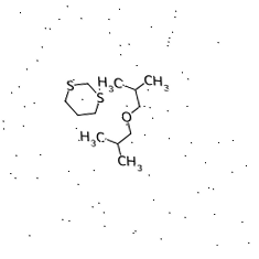 C1CSCSC1.CC(C)COCC(C)C